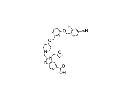 N#Cc1ccc(COc2cccc(COC3CCN(Cc4nc5ccc(C(=O)O)cc5n4C[C@@H]4CCO4)CC3)n2)c(F)c1